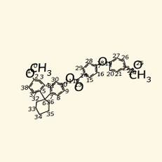 COc1ccc(C2(c3ccc(OC(=O)c4ccc(Oc5ccc(C(C)=O)cc5)cc4)cc3)CCCCC2)cc1